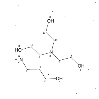 NCCCO.OCCN(CCO)CCO